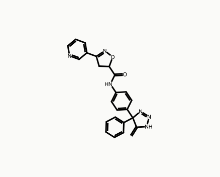 C=C1NN=NC1(c1ccccc1)c1ccc(NC(=O)C2CC(c3cccnc3)=NO2)cc1